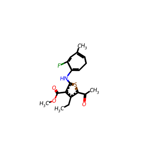 CCc1c(C(C)=O)sc(NC2=CCC=C(C)C=C2F)c1C(=O)OC